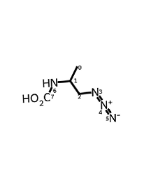 CC(CN=[N+]=[N-])NC(=O)O